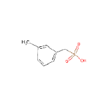 Cc1[c]c(CS(=O)(=O)O)ccc1